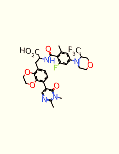 Cc1cc(N2CCOC[C@@H]2C(F)(F)F)cc(F)c1C(=O)N[C@@H](Cc1ccc(-c2cnc(C)n(C)c2=O)c2c1OCCO2)C(=O)O